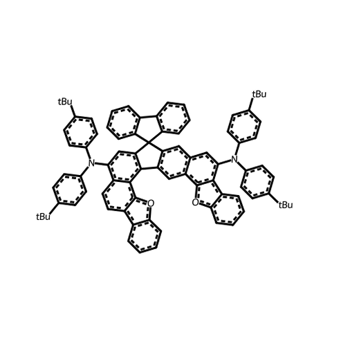 CC(C)(C)c1ccc(N(c2ccc(C(C)(C)C)cc2)c2cc3c(c4c2ccc2c5ccccc5oc24)-c2cc4c(cc2C32c3ccccc3-c3ccccc32)cc(N(c2ccc(C(C)(C)C)cc2)c2ccc(C(C)(C)C)cc2)c2c3ccccc3oc42)cc1